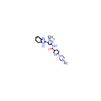 CC(=O)N1CCN(c2ccc(C(=O)Nc3cc(-c4nc5ccccc5[nH]4)n(C)n3)cn2)CC1